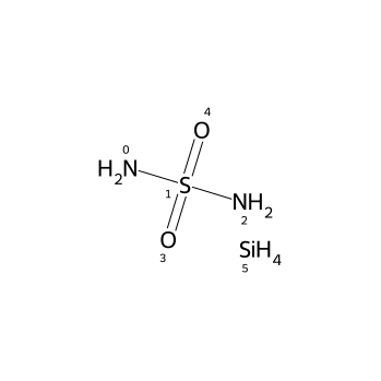 NS(N)(=O)=O.[SiH4]